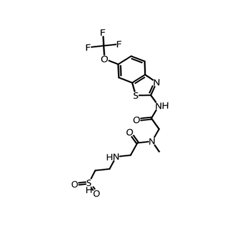 CN(CC(=O)Nc1nc2ccc(OC(F)(F)F)cc2s1)C(=O)CNCC[SH](=O)=O